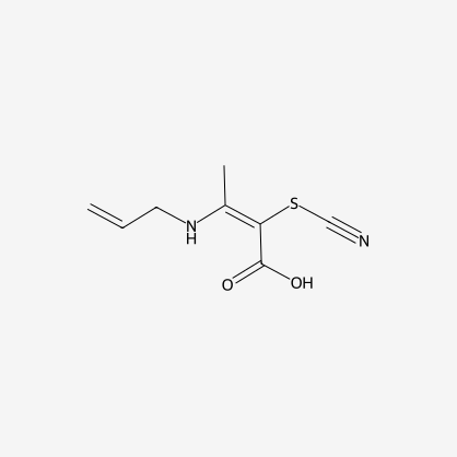 C=CCN/C(C)=C(/SC#N)C(=O)O